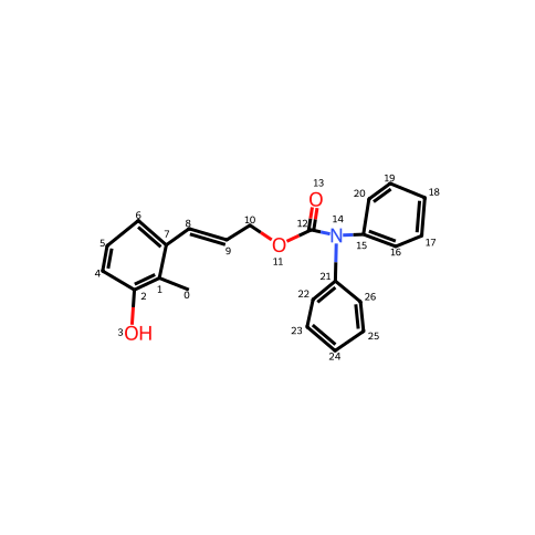 Cc1c(O)cccc1/C=C/COC(=O)N(c1ccccc1)c1ccccc1